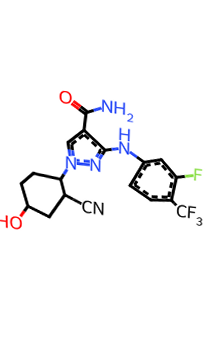 N#CC1CC(O)CCC1n1cc(C(N)=O)c(Nc2ccc(C(F)(F)F)c(F)c2)n1